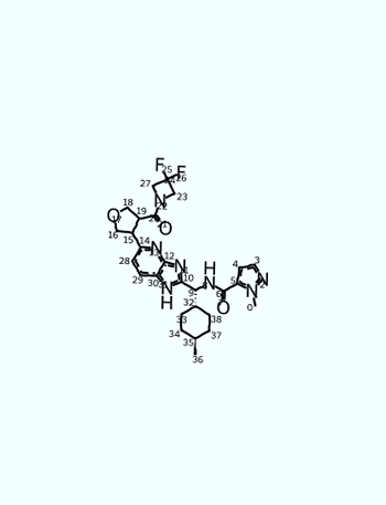 Cn1nccc1C(=O)NC(c1nc2nc(C3COCC3C(=O)N3CC(F)(F)C3)ccc2[nH]1)[C@H]1CC[C@H](C)CC1